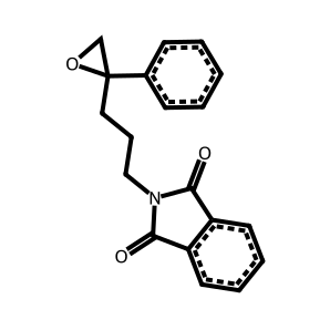 O=C1c2ccccc2C(=O)N1CCCC1(c2ccccc2)CO1